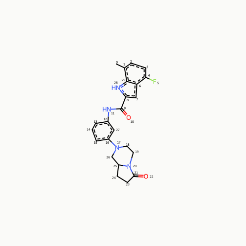 Cc1ccc(F)c2cc(C(=O)Nc3cccc(N4CCN5C(=O)CCC5C4)c3)[nH]c12